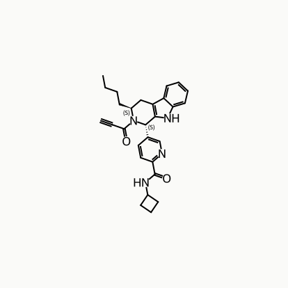 C#CC(=O)N1[C@@H](CCCC)Cc2c([nH]c3ccccc23)[C@@H]1c1ccc(C(=O)NC2CCC2)nc1